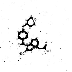 Cc1cc2c(CC(=O)O)cccc2n1C(=O)c1ccc(OC2CCOCC2)cc1